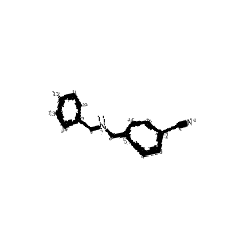 N#Cc1ccc(CNCc2ccccc2)cc1